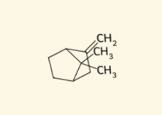 C=C1CC2CCC1C2(C)C